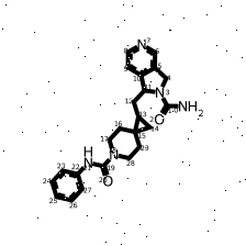 NC(=O)N1Cc2cnccc2C1CC1CC12CCN(C(=O)Nc1ccccc1)CC2